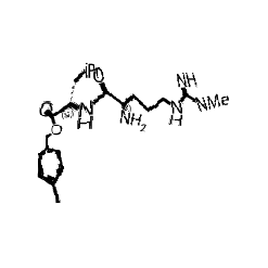 CNC(=N)NCCC[C@@H](N)C(=O)N[C@@H](CC(C)C)C(=O)OCc1ccc(C)cc1